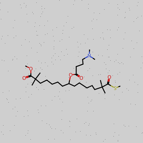 COC(=O)C(C)(C)CCCCCC(CCCCCC(C)(C)C(=O)SC)OC(=O)CCCN(C)C